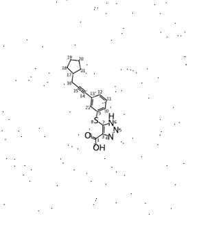 O=C(O)c1nn[nH]c1Sc1cccc(C#CCC2CCCC2)c1